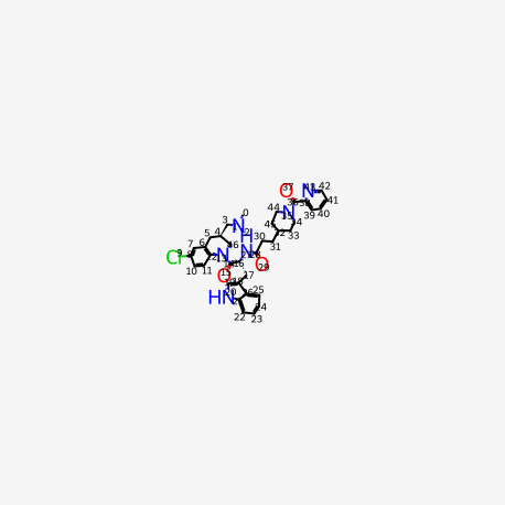 CN(C)C[C@@H]1Cc2cc(Cl)ccc2N(C(=O)[C@@H](Cc2c[nH]c3ccccc23)NC(=O)CCC2CCN(C(=O)c3ccccn3)CC2)C1